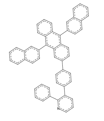 c1ccc(-c2ncccc2-c2ccc(-c3ccc4c(-c5ccc6ccccc6c5)c5ccccc5c(-c5ccc6ccccc6c5)c4c3)cc2)cc1